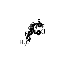 CN1CCN(c2cc3c(cc2F)c(=O)c(-c2noc(Cc4ccc(F)cc4F)n2)cn3Cc2ccc(Cl)cc2)CC1